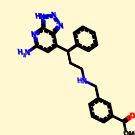 COC(=O)c1cccc(CNCCC(c2ccccc2)c2cc(N)nc3[nH]nnc23)c1